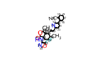 C[C@H]1OC(=O)[C@]2(Nc3cocn3)CC(F)(F)[C@@H](C)[C@H](/C=C/c3ccc(-c4ccccc4C#N)cn3)[C@H]12